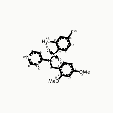 COc1ccc(CN(c2ccncn2)S(=O)(=O)c2ccc(F)cc2C)c(OC)c1